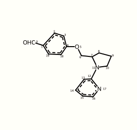 O=Cc1ccc(OCC2CCCN2c2ccccn2)cc1